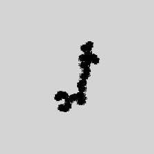 C1=CC(c2nc(-c3ccc4ccccc4c3)nc(-c3cc4ccccc4c4ccccc34)n2)=C(c2cccc3oc4c(-c5ccc6sc7cc(-c8ccc9c(ccc%10cc(-c%11cc(-c%12ccc(-c%13nc(C%14=CC%15c%16ccccc%16C=CC%15C=C%14)nc(-c%14ccc%15ccc%16ccccc%16c%15c%14)n%13)cc%12)c%12c(c%11)oc%11ccccc%11%12)ccc%109)c8)ccc7c6c5)cccc4c23)CC1